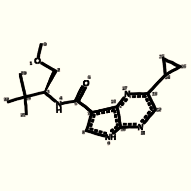 COC[C@@H](NC(=O)c1c[nH]c2ncc(C3CC3)nc12)C(C)(C)C